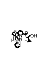 O=C(NC(CO)C1CC1)C1C=CC2=C(N1)N(C(=O)Nc1ccccn1)[C@H]1CCN2C1